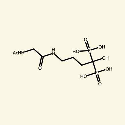 CC(=O)NCC(=O)NCCCC(O)(P(=O)(O)O)P(=O)(O)O